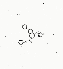 O=C(CSc1ccncc1)N1CCN(Cc2c[nH]cn2)c2ccc(-c3ccccc3)cc2C1